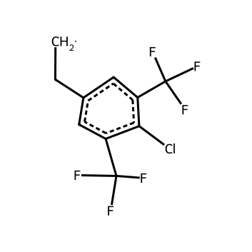 [CH2]Cc1cc(C(F)(F)F)c(Cl)c(C(F)(F)F)c1